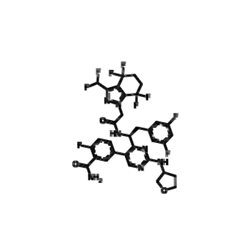 NC(=O)c1cc(-c2cnc(NC3CCOC3)nc2[C@H](Cc2cc(F)cc(F)c2)NC(=O)Cn2nc(C(F)F)c3c2C(F)(F)CCC3(F)F)ccc1F